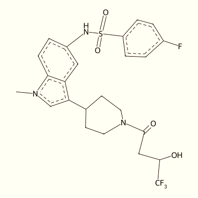 Cn1cc(C2CCN(C(=O)CC(O)C(F)(F)F)CC2)c2cc(NS(=O)(=O)c3ccc(F)cc3)ccc21